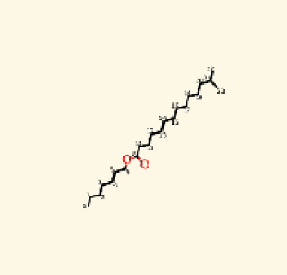 CCCCCCCOC(=O)CCCCCCCCCCCC(C)C